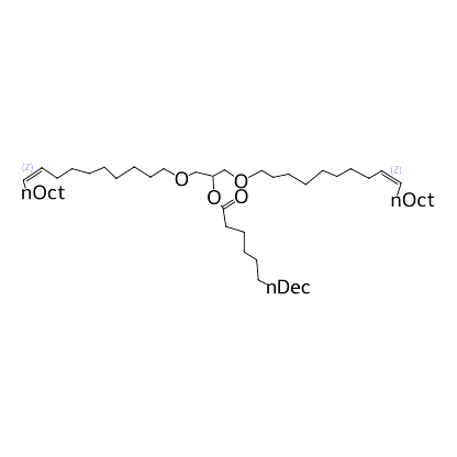 CCCCCCCC/C=C\CCCCCCCCOCC(COCCCCCCCC/C=C\CCCCCCCC)OC(=O)CCCCCCCCCCCCCCC